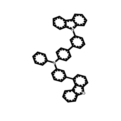 c1ccc(N(c2ccc(-c3cccc(-n4c5ccccc5c5ccccc54)c3)cc2)c2cccc(-c3cccc4oc5ccccc5c34)c2)cc1